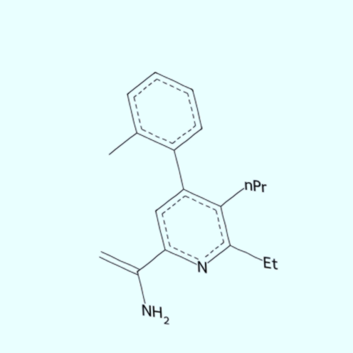 C=C(N)c1cc(-c2ccccc2C)c(CCC)c(CC)n1